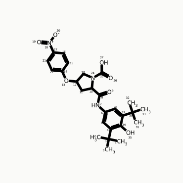 CC(C)(C)c1cc(NC(=O)C2CC(Oc3ccc([N+](=O)[O-])cc3)CN2C(=O)O)cc(C(C)(C)C)c1O